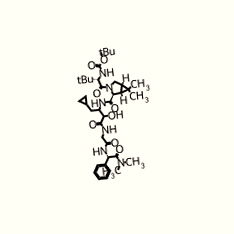 CN(C)C(=O)[C@@H](NC(=O)CNC(=O)C(O)C(CC1CC1)NC(=O)[C@@H]1[C@@H]2[C@H](CN1C(=O)[C@@H](NC(=O)OC(C)(C)C)C(C)(C)C)C2(C)C)c1ccccc1